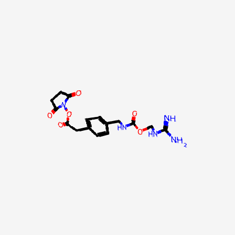 N=C(N)NCOC(=O)NCc1ccc(CC(=O)ON2C(=O)CCC2=O)cc1